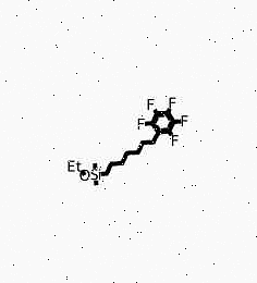 CCO[Si](C)(C)CCCCCCCc1c(F)c(F)c(F)c(F)c1F